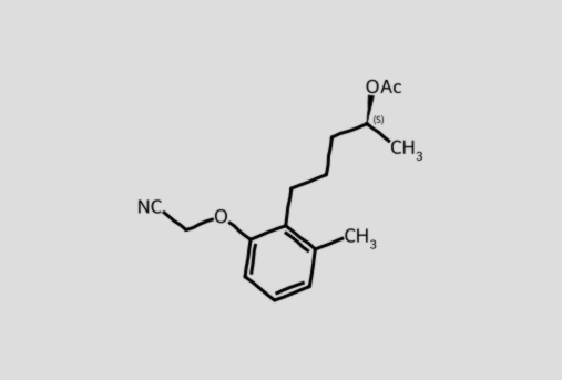 CC(=O)O[C@@H](C)CCCc1c(C)cccc1OCC#N